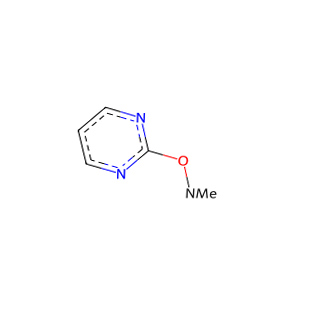 CNOc1ncccn1